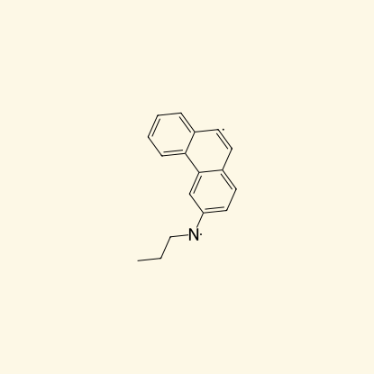 CCC[N]c1ccc2c[c]c3ccccc3c2c1